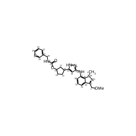 COCc1nn(C)c2c(Nc3cc(C4CCC(OC(=O)NCc5cccnc5)C4)[nH]n3)cccc12